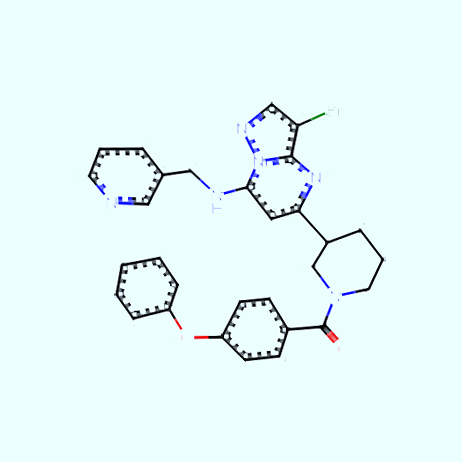 O=C(c1ccc(Oc2ccccc2)cc1)N1CCCC(c2cc(NCc3cccnc3)n3ncc(Br)c3n2)C1